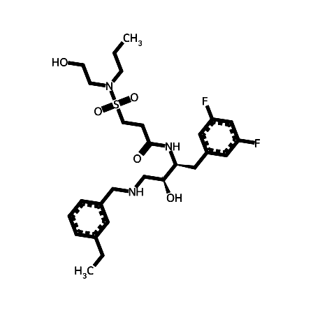 CCCN(CCO)S(=O)(=O)CCC(=O)N[C@@H](Cc1cc(F)cc(F)c1)[C@@H](O)CNCc1cccc(CC)c1